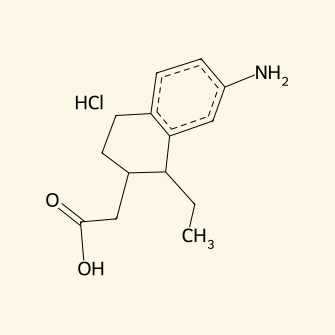 CCC1c2cc(N)ccc2CCC1CC(=O)O.Cl